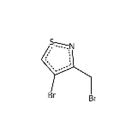 BrCc1nscc1Br